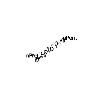 CCCCCOCCOCCOCCOCCCC(=O)OCCC